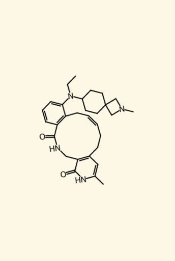 CCN(c1cccc2c1CC=CCCc1cc(C)[nH]c(=O)c1CNC2=O)C1CCC2(CC1)CN(C)C2